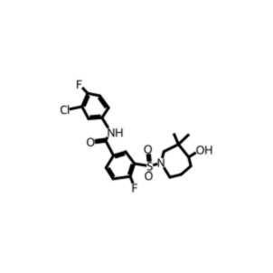 CC1(C)CN(S(=O)(=O)c2cc(C(=O)Nc3ccc(F)c(Cl)c3)ccc2F)CCCC1O